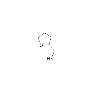 SC[C@H]1CCCO1